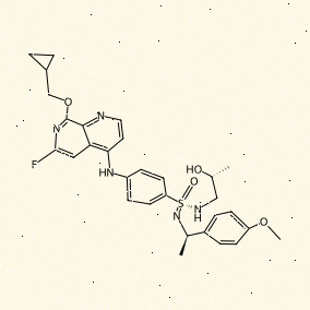 COc1ccc([C@@H](C)N=[S@@](=O)(NC[C@@H](C)O)c2ccc(Nc3ccnc4c(OCC5CC5)nc(F)cc34)cc2)cc1